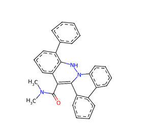 CN(C)C(=O)C1=C2c3ccccc3-c3ccccc3N2Nc2c1cccc2-c1ccccc1